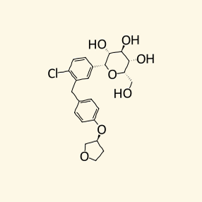 OC[C@@H]1O[C@H](c2ccc(Cl)c(Cc3ccc(O[C@H]4CCOC4)cc3)c2)[C@H](O)[C@@H](O)[C@@H]1O